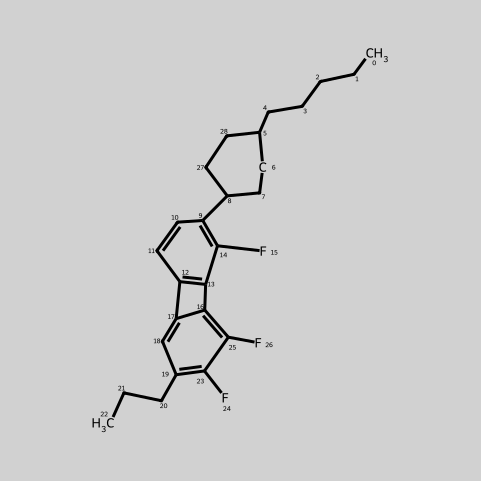 CCCCCC1CCC(c2ccc3c(c2F)-c2c-3cc(CCC)c(F)c2F)CC1